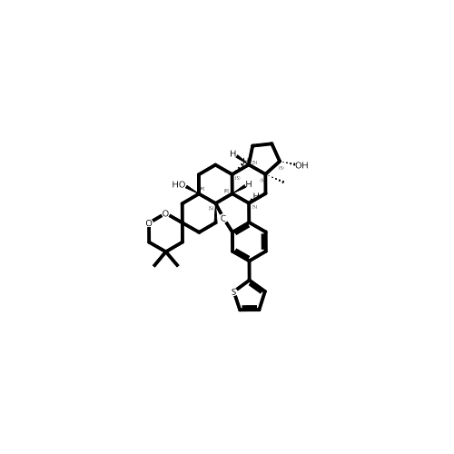 CC1(C)COOC2(CC[C@@]34Cc5cc(-c6cccs6)ccc5[C@H]5C[C@]6(C)[C@@H](O)CC[C@H]6[C@H](CC[C@@]3(O)C2)[C@H]54)C1